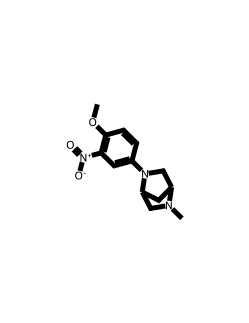 COc1ccc(N2CC3CC2CN3C)cc1[N+](=O)[O-]